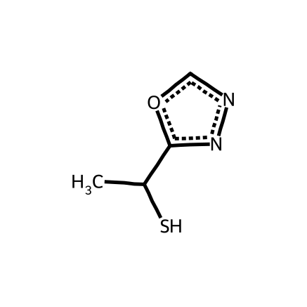 CC(S)c1nnco1